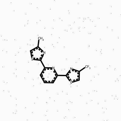 Cc1csc(-c2c[c]cc(-c3nc(C(F)(F)F)cs3)n2)n1